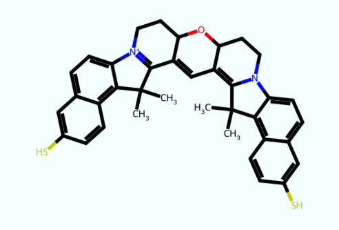 CC1(C)C2=C3C=C4C5=[N+](CCC4OC3CCN2c2ccc3cc(S)ccc3c21)c1ccc2cc(S)ccc2c1C5(C)C